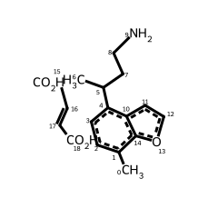 Cc1ccc(C(C)CCN)c2ccoc12.O=C(O)C=CC(=O)O